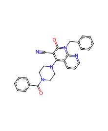 N#Cc1c(N2CCN(C(=O)c3ccccc3)CC2)c2cccnc2n(Cc2ccccc2)c1=O